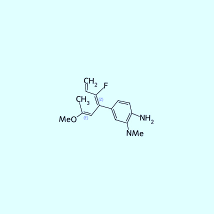 C=C/C(F)=C(\C=C(/C)OC)c1ccc(N)c(NC)c1